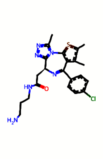 Cc1sc2c(c1C)C(c1ccc(Cl)cc1)=N[C@@H](CC(=O)NCCCN)c1nnc(C)n1-2